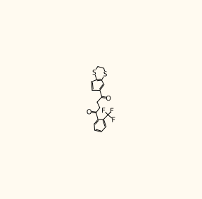 O=C(CCC(=O)c1ccccc1C(F)(F)F)c1ccc2c(c1)SCCS2